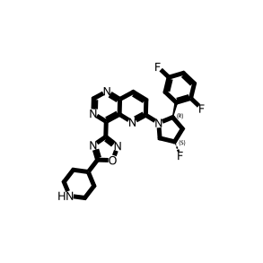 Fc1ccc(F)c([C@H]2C[C@H](F)CN2c2ccc3ncnc(-c4noc(C5CCNCC5)n4)c3n2)c1